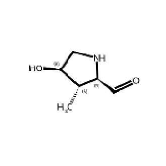 C[C@H]1[C@H](C=O)NC[C@@H]1O